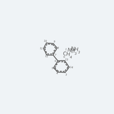 C.N.N.c1ccc(-c2ccccc2)cc1